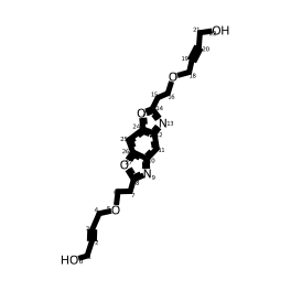 OCC#CCOCCc1nc2cc3nc(CCOCC#CCO)oc3cc2o1